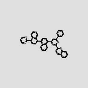 c1ccc(-c2cc(-c3ccc(-c4ccc(-c5ncccn5)c5ccccc45)c4ccccc34)nc(-c3ccc4ccccc4n3)n2)cc1